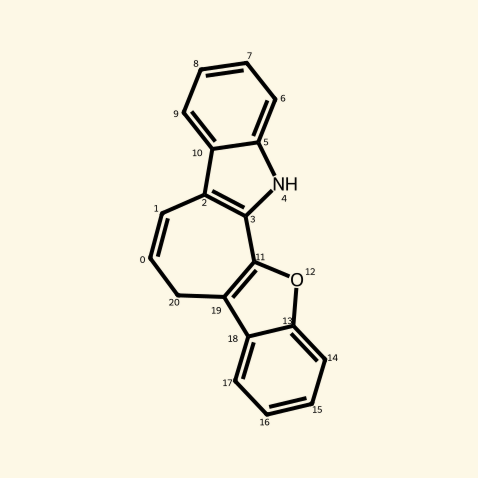 C1=Cc2c([nH]c3ccccc23)-c2oc3ccccc3c2C1